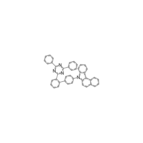 c1ccc(-c2nc(-c3ccccc3)nc(-c3ccccc3-c3ccc(-n4c5ccccc5c5c6ccccc6ccc54)cc3)n2)cc1